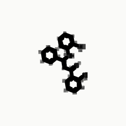 O=C(/C=C(\Nc1ccccc1O)c1ccccc1)c1ccccc1Cl